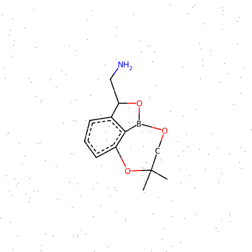 CC1(C)COB2OC(CN)c3cccc(c32)O1